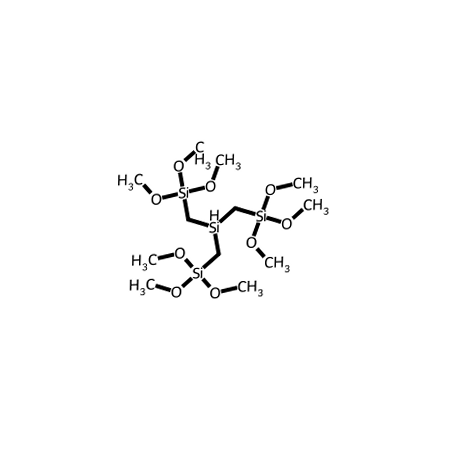 CO[Si](C[SiH](C[Si](OC)(OC)OC)C[Si](OC)(OC)OC)(OC)OC